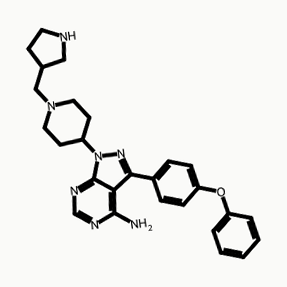 Nc1ncnc2c1c(-c1ccc(Oc3ccccc3)cc1)nn2C1CCN(CC2CCNC2)CC1